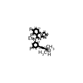 CCN(c1cc(F)cc(C#CC(C)(C)O)c1)c1nc2nncn2c2ccc(F)c(F)c12